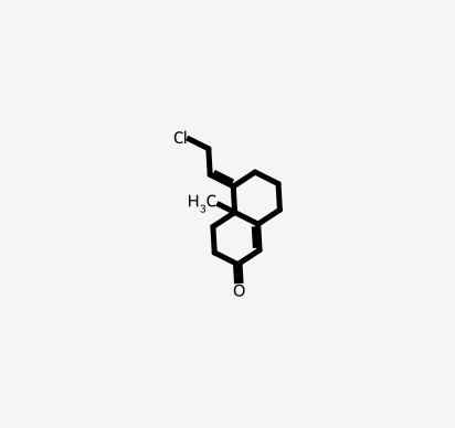 CC12CCC(=O)C=C1CCCC2=CCCl